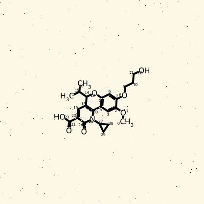 COc1cc2c(cc1OCCCO)OC(C(C)C)c1cc(C(=O)O)c(=O)n(C3CC3)c1-2